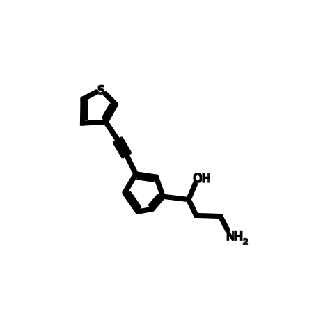 NCCC(O)c1cccc(C#Cc2ccsc2)c1